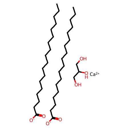 CCCCCCCCCCCCCCCCCC(=O)[O-].CCCCCCCCCCCCCCCCCC(=O)[O-].OCC(O)CO.[Ca+2]